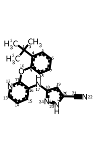 CC(C)(C)c1ccccc1Oc1ncccc1Nc1cc(C#N)[nH]n1